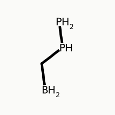 BCPP